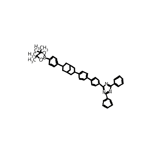 CC1(C)OB(c2ccc(C3CC4CC(C3)CC(c3ccc(-c5ccc(-c6nc(-c7ccccc7)nc(-c7ccccc7)n6)cc5)cc3)C4)cc2)OC1(C)C